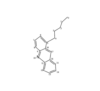 CCCCCc1cccc2nc3ccccc3cc12